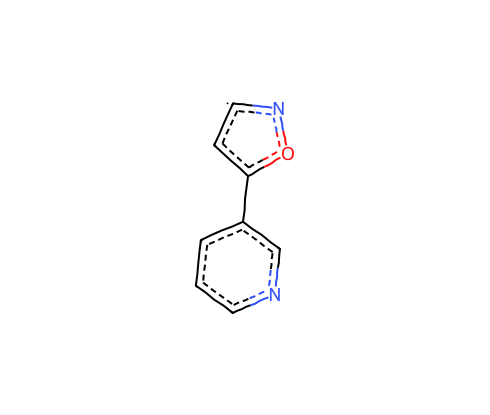 [c]1cc(-c2cccnc2)on1